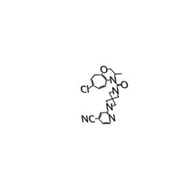 CC1COC2=C(C=CC(Cl)=CC2)N1C(=O)N1CC2(C1)CN(c1cc(C#N)ccn1)C2